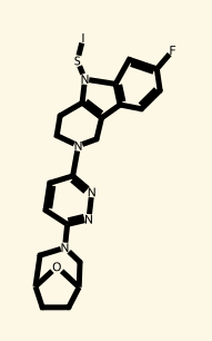 Fc1ccc2c3c(n(SI)c2c1)CCN(c1ccc(N2CC4CCC(C2)O4)nn1)C3